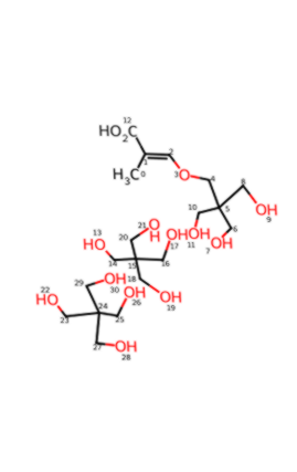 CC(=COCC(CO)(CO)CO)C(=O)O.OCC(CO)(CO)CO.OCC(CO)(CO)CO